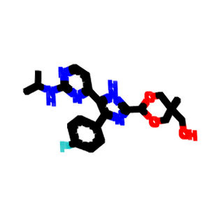 CC(C)Nc1nccc(-c2[nH]c(C3OCC(C)(CO)CO3)nc2-c2ccc(F)cc2)n1